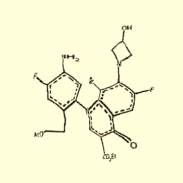 CCOC(=O)c1cn(-c2cc(N)c(F)cc2COC(C)=O)c2c(Br)c(N3CC(O)C3)c(F)cc2c1=O